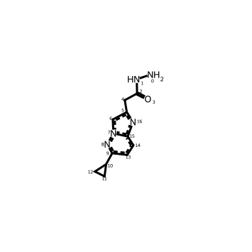 NNC(=O)Cc1cn2nc(C3CC3)ccc2n1